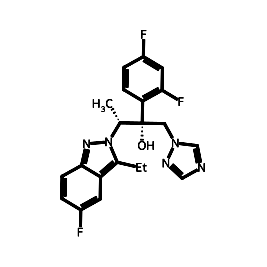 CCc1c2cc(F)ccc2nn1[C@H](C)[C@](O)(Cn1cncn1)c1ccc(F)cc1F